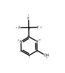 Oc1ccnc(C(F)(F)F)n1